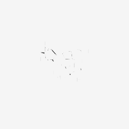 CC[C@H]1O[C@@H](c2c[nH]c(=O)[nH]c2=O)[C@@H](O[Si](C)(C)C(C)(C)C)C1C